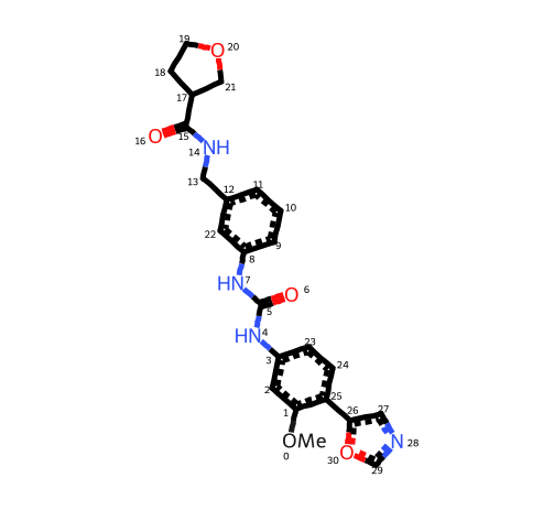 COc1cc(NC(=O)Nc2cccc(CNC(=O)C3CCOC3)c2)ccc1-c1cnco1